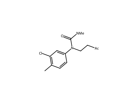 CNC(=O)N(CCC(C)=O)c1ccc(C)c(Cl)c1